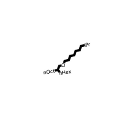 CCCCCCCCC(CCCCCC)COCCCCCCCC(C)C